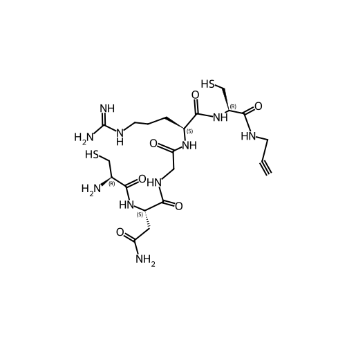 C#CCNC(=O)[C@H](CS)NC(=O)[C@H](CCCNC(=N)N)NC(=O)CNC(=O)[C@H](CC(N)=O)NC(=O)[C@@H](N)CS